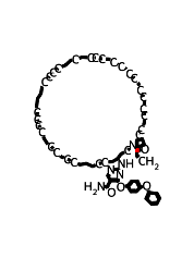 C=CC(=O)N1CCC(Nc2ncc(C(N)=O)c(Oc3ccc(Oc4ccccc4)cc3)n2)CCCCCCCCCCCCCCCCCCCCCCCCCCCCCCCCCCCCCCCCCCCCCCCC12CCC2